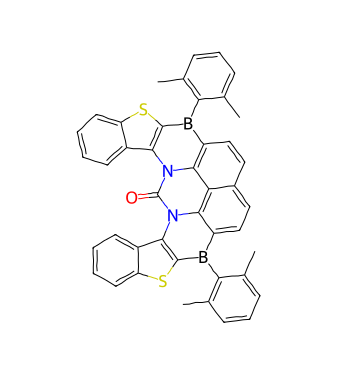 Cc1cccc(C)c1B1c2ccc3ccc4c5c3c2N(C(=O)N5c2c(sc3ccccc23)B4c2c(C)cccc2C)c2c1sc1ccccc21